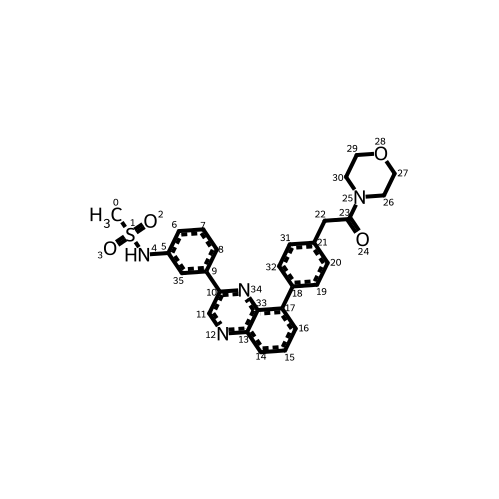 CS(=O)(=O)Nc1cccc(-c2cnc3cccc(-c4ccc(CC(=O)N5CCOCC5)cc4)c3n2)c1